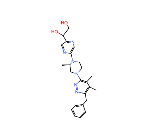 Cc1c(Cc2ccccc2)nnc(N2CCN(c3cnc(C(O)CO)cn3)[C@H](C)C2)c1C